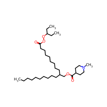 CCCCCCCCCCC(CCCCCCCCC(=O)OOC(CC)CC)COC(=O)C1CCN(C)CC1